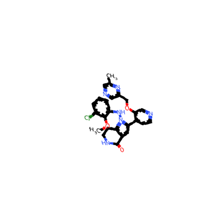 COc1c(Cl)cccc1Nn1c(-c2ccncc2OCc2cncc(C)n2)cc2c1CCNC2=O